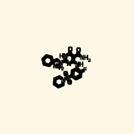 NC(=O)c1c(Nc2cc(S(=O)(=O)N3CCCCC3)ccc2F)nc(NCC2(N)CCCCC2)[nH]c1=O